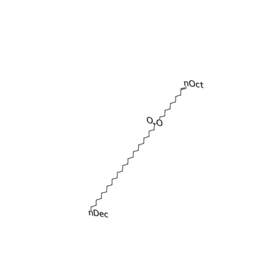 CCCCCCCC/C=C/CCCCCCCCOC(=O)CCCCCCCCCCCCCCCCCCCCCCCCCCCCCCCCCC